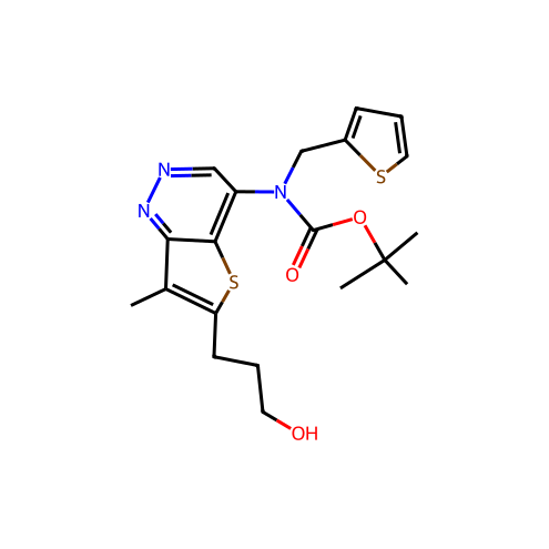 Cc1c(CCCO)sc2c(N(Cc3cccs3)C(=O)OC(C)(C)C)cnnc12